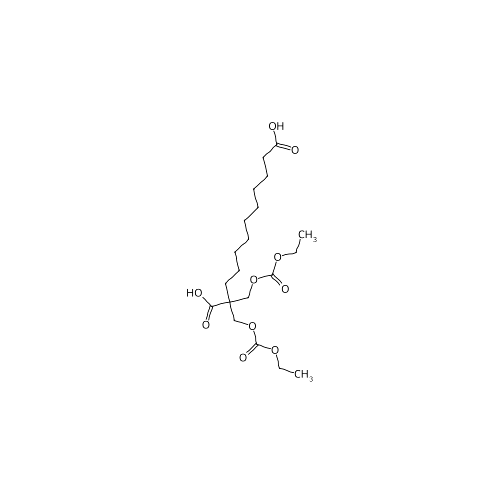 CCOC(=O)OCC(CCCCCCCCCC(=O)O)(COC(=O)OCC)C(=O)O